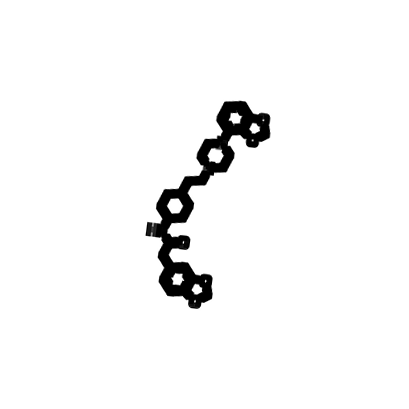 O=C(Cc1ccc2c(c1)OCO2)NC1CCC(CCN2CCN(c3cccc4c3OCO4)CC2)CC1